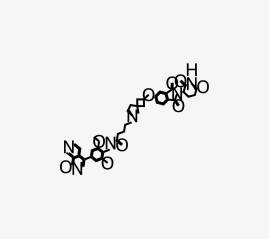 COc1cc(-c2cn(C)c(=O)c3cnccc23)cc(OC)c1CN(C)C(=O)CCCCN1CCC2(CC(Oc3ccc4c(c3)C(=O)N(C3CCC(=O)NC3=O)C4=O)C2)C1